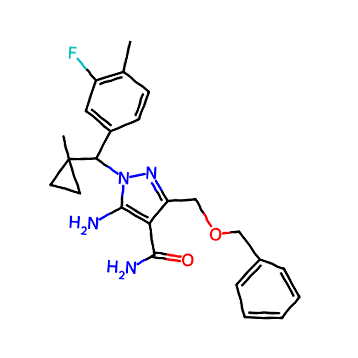 Cc1ccc(C(n2nc(COCc3ccccc3)c(C(N)=O)c2N)C2(C)CC2)cc1F